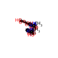 CNc1c(I)c(C(=O)O)c(I)c(C(=O)N2CCCCC2)c1I.CNc1c(I)c(C(=O)O)c(I)c(C(=O)N2CCCCC2)c1I.O=C(O)CCOCCC(=O)O